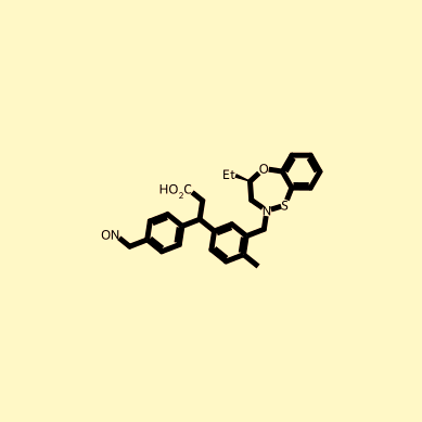 CC[C@@H]1CN(Cc2cc(C(CC(=O)O)c3ccc(CN=O)cc3)ccc2C)Sc2ccccc2O1